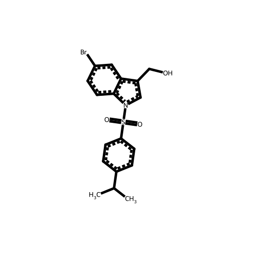 CC(C)c1ccc(S(=O)(=O)n2cc(CO)c3cc(Br)ccc32)cc1